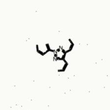 C=C(/C=C\C)n1nc(/C=C\C)c(/C=C\C)n1